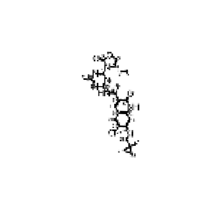 CC[C@H]1COC(=O)N1c1nc(C)nc(N[C@@H](C)c2cc3cc(Cl)c(OCC4(C)CC4)cc3[nH]c2=O)n1